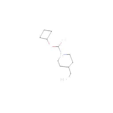 CCC1CCN(C(O)OC2CCC2)CC1